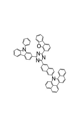 c1ccc(-n2c3ccccc3c3ccc(-c4nc(-c5ccc6cc(N7c8c(ccc9ccccc89)-c8cccc9cccc7c89)ccc6c5)nc(-c5cccc6c5oc5ccccc56)n4)cc32)cc1